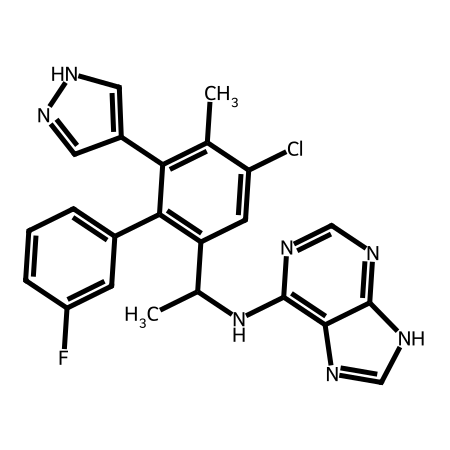 Cc1c(Cl)cc(C(C)Nc2ncnc3[nH]cnc23)c(-c2cccc(F)c2)c1-c1cn[nH]c1